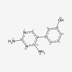 Nc1ncc(-c2cccc(O)c2)c(N)n1